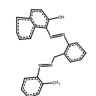 Cc1ccccc1N=NCc1ccccc1N=Nc1c(O)ccc2ccccc12